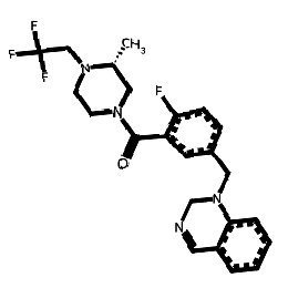 C[C@@H]1CN(C(=O)c2cc(CN3CN=Cc4ccccc43)ccc2F)CCN1CC(F)(F)F